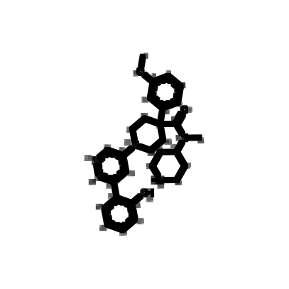 COc1cccc(C2(C(=O)N(C)C3CCNCC3)CCN(c3cnnc(-c4ccccc4O)c3)CC2)c1